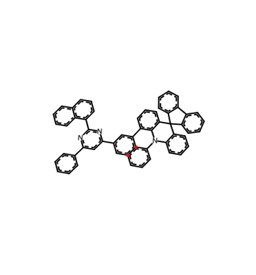 c1ccc(-c2cc(-c3cccc(-c4cccc5c4N(c4ccccc4)c4ccccc4C54c5ccccc5-c5ccccc54)c3)nc(-c3cccc4ccccc34)n2)cc1